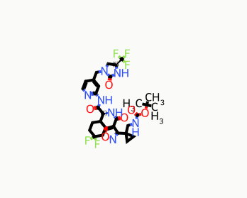 CC(C)(C)OC(=O)NCC1(c2nocc2C(=O)N[C@H](C(=O)Nc2cc(CN3C[C@@H](C(F)(F)F)NC3=O)ccn2)C2CCC(F)(F)CC2)CC1